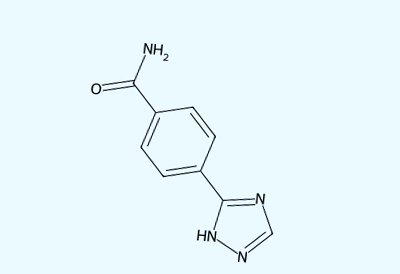 NC(=O)c1ccc(-c2ncn[nH]2)cc1